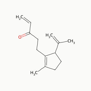 C=CC(=O)CCC1=C(C)CCC1C(=C)C